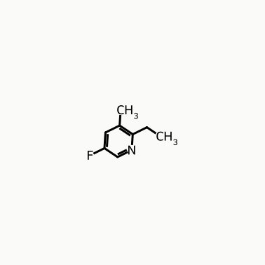 CCc1ncc(F)cc1C